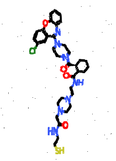 O=C(CN1CCN(CCNC(=O)C2CCCC[C@@H]2C(=O)N2CCN(C3=Nc4ccccc4Oc4ccc(Cl)cc43)CC2)CC1)NCCS